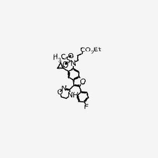 CCOC(=O)CCCN(c1cc2oc(-c3ccc(F)cc3)c(C3=NOCCN3)c2cc1C1CC1)S(C)(=O)=O